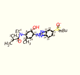 C=C(C)C(=O)N(CC)c1cc(O)c(-n2n3c4ccc([S+]([O-])CCCC)cc4n23)cc1C